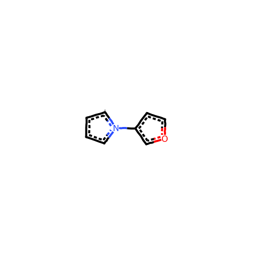 [c]1cccn1-c1ccoc1